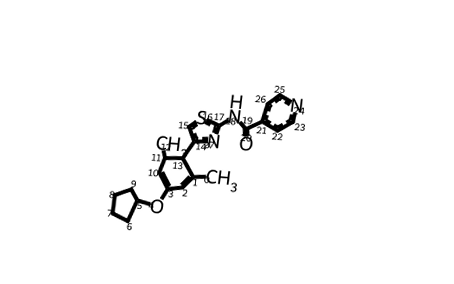 CC1=CC(OC2CCCC2)=CC(C)C1c1csc(NC(=O)c2ccncc2)n1